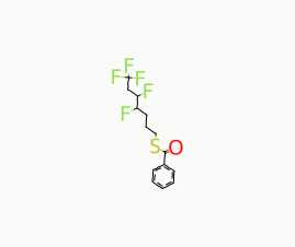 O=C(SCCCC(F)C(F)CC(F)(F)F)c1ccccc1